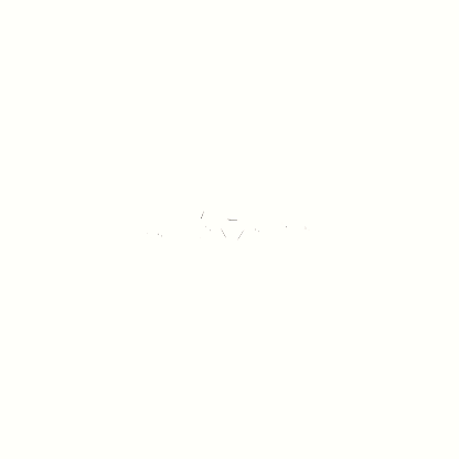 CC(=O)CN1CCN(c2ccc(N3C[C@H](CNC(C)=O)OC3=O)cc2F)CCO1